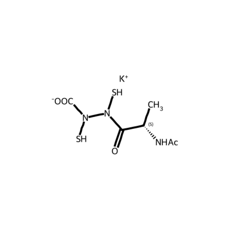 CC(=O)N[C@@H](C)C(=O)N(S)N(S)C(=O)[O-].[K+]